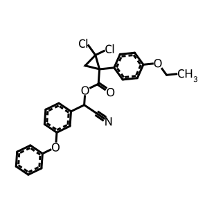 CCOc1ccc(C2(C(=O)OC(C#N)c3cccc(Oc4ccccc4)c3)CC2(Cl)Cl)cc1